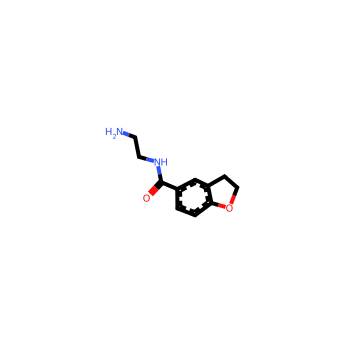 NCCNC(=O)c1ccc2c(c1)CCO2